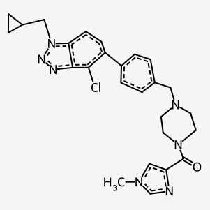 Cn1cnc(C(=O)N2CCN(Cc3ccc(-c4ccc5c(nnn5CC5CC5)c4Cl)cc3)CC2)c1